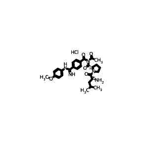 COc1ccc(NC(=N)c2ccc(C(=O)N(C(C)=O)C(=O)[C@@H]3CCCN3C(=O)[C@H](N)CC(C)C)cc2)cc1.Cl